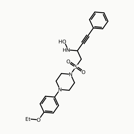 CCOc1ccc(N2CCN(S(=O)(=O)CC(C#Cc3ccccc3)NO)CC2)cc1